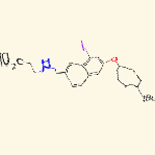 CC(C)(C)C1CCC(Oc2cc(I)c3cc(CNCCC(=O)O)ccc3c2)CC1